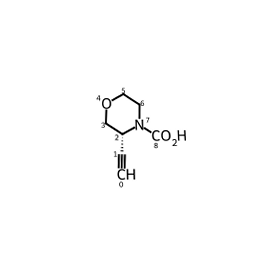 C#C[C@@H]1COCCN1C(=O)O